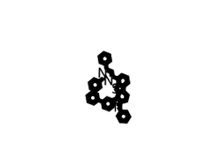 c1ccc(-c2ccc3c(c2)c2c4sc5c(-c6cc(-c7ccccc7)nc(-c7ccccc7)n6)cccc5c4ccc2n3-c2ccccc2)cc1